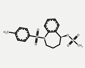 Cc1ccc(S(=O)(=O)N2CCC[C@H](OS(C)(=O)=O)c3ccccc32)cc1